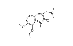 CCOc1c(OC)ccc2cc(CN(C)C)c(=O)[nH]c12